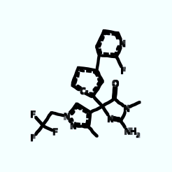 Cc1nn(CC(F)(F)F)cc1C1(c2cccc(-c3cccnc3F)c2)N=C(N)N(C)C1=O